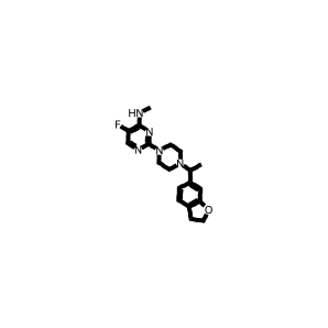 CNc1nc(N2CCN(C(C)c3ccc4c(c3)OCC4)CC2)ncc1F